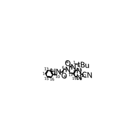 CC(C)(C)CN1C(=O)N(CC(=O)NCc2ccccc2)Cc2cnc(C#N)nc21